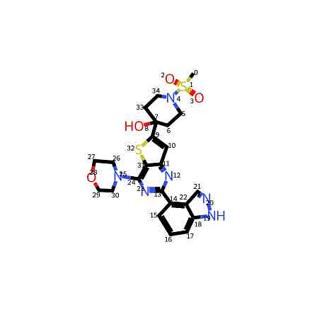 CS(=O)(=O)N1CCC(O)(c2cc3nc(-c4cccc5[nH]ncc45)nc(N4CCOCC4)c3s2)CC1